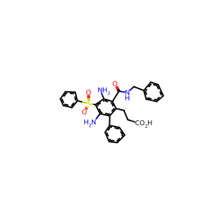 Nc1c(C(=O)NCc2ccccc2)c(CCC(=O)O)c(-c2ccccc2)c(N)c1S(=O)(=O)c1ccccc1